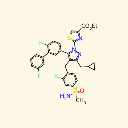 CCOC(=O)c1csc(-n2nc(CC3CC3)c(Cc3ccc([SH](C)(N)=O)cc3F)c2-c2ccc(F)c(-c3cccc(F)c3)c2)n1